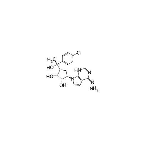 C[C@@](O)(c1ccc(Cl)cc1)[C@H]1C[C@@H](n2ccc3/c(=N\N)nc[nH]c32)[C@H](O)[C@@H]1O